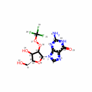 Nc1nc2c(ncn2[C@@H]2O[C@H](CO)C(O)C2OOC(F)(F)F)c(=O)[nH]1